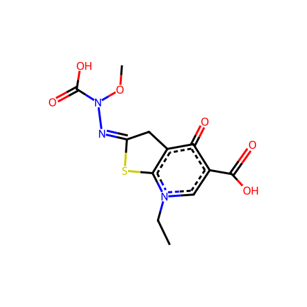 CCn1cc(C(=O)O)c(=O)c2c1S/C(=N/N(OC)C(=O)O)C2